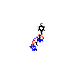 O=C(Cn1cnnn1)NNC(=O)OCc1ccccc1